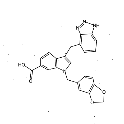 O=C(O)c1ccc2c(Cc3cccc4[nH]nnc34)cn(Cc3ccc4c(c3)OCO4)c2c1